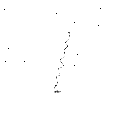 CCCCCCC=CCCCCCCCCCC[O]